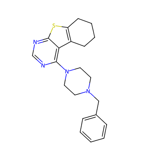 c1ccc(CN2CCN(c3ncnc4sc5c(c34)CCCC5)CC2)cc1